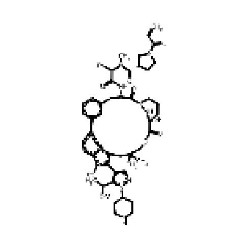 C=CC(=O)N1CC[C@H](C(=O)N(C)C(C(=O)N[C@H]2Cc3cccc(c3)-c3ccc4c(c3)c(c(-c3cnn(C5CCNCC5)c3[C@H](C)OC)n4CC)CC(C)(C)COC(=O)[C@@H]3CCCN(N3)C2=O)C(C)C)C1